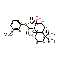 COc1cccc(SC[C@@H]2[C@@]3(C)CCCC(C)(C)[C@@H]3CC[C@@]2(C)O)c1